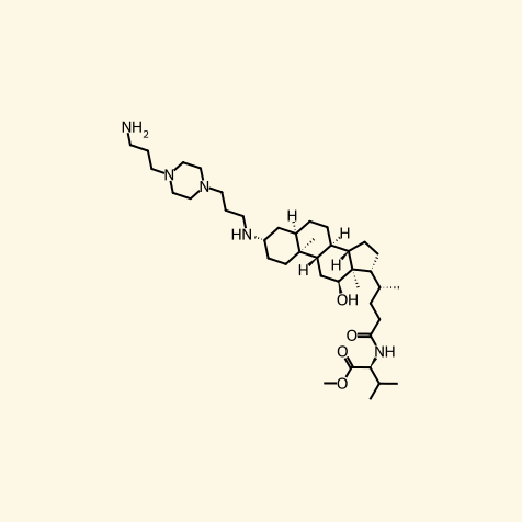 COC(=O)[C@@H](NC(=O)CC[C@@H](C)[C@H]1CC[C@H]2[C@@H]3CC[C@@H]4C[C@@H](NCCCN5CCN(CCCN)CC5)CC[C@]4(C)[C@H]3C[C@H](O)[C@]12C)C(C)C